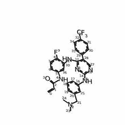 C=CC(=O)Nc1ccc(F)c(Nc2nc(Nc3cccc(CN(C)C)c3)ncc2-c2ccc(C(F)(F)F)cc2)c1